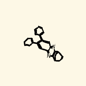 c1ccc(-c2cc3nc4c(nc3cc2-c2ccccc2)C2CCC4CC2)cc1